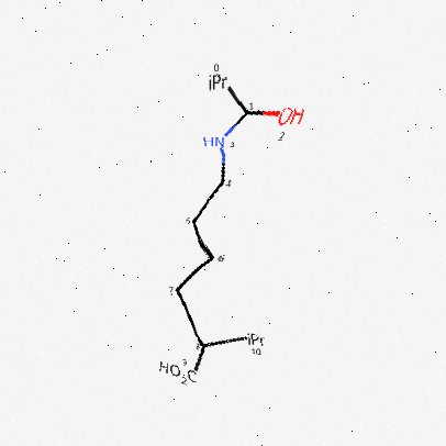 CC(C)C(O)NCCCCC(C(=O)O)C(C)C